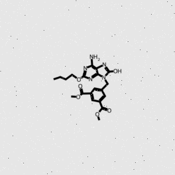 CCCCOc1nc(N)c2nc(O)n(Cc3cc(C(=O)OC)cc(C(=O)OC)c3)c2n1